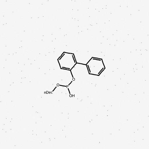 CCCCCCCCCCOP(O)Oc1ccccc1-c1ccccc1